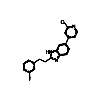 Fc1cccc(CCc2nc3ccc(-c4ccnc(Cl)c4)cc3[nH]2)c1